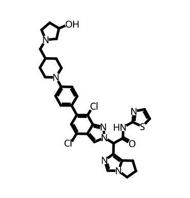 O=C(Nc1nccs1)C(c1ncn2c1CCC2)n1cc2c(Cl)cc(-c3ccc(N4CCC(CN5CCC(O)C5)CC4)cc3)c(Cl)c2n1